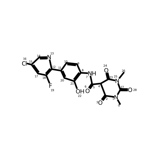 CN1C(=O)C(C(=O)Nc2ccc(-c3ncc(Cl)cc3F)cc2O)C(=O)N(C)C1=O